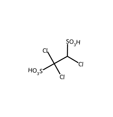 O=S(=O)(O)C(Cl)C(Cl)(Cl)S(=O)(=O)O